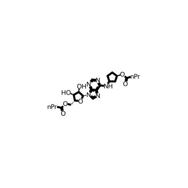 CCCC(=O)OC[C@H]1O[C@@H](n2cnc3c(NC4CC[C@@H](OC(=O)CCC)C4)ncnc32)[C@H](O)[C@@H]1O